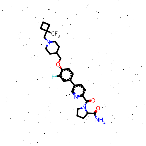 NC(=O)C1CCCN1C(=O)c1ccc(-c2ccc(OCC3CCN(CC4(C(F)(F)F)CCC4)CC3)c(F)c2)cn1